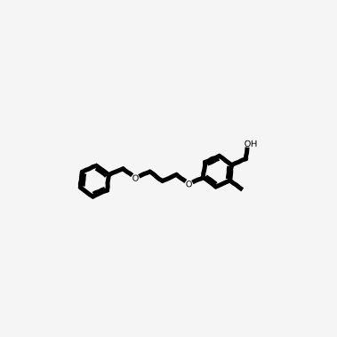 Cc1cc(OCCCOCc2ccccc2)ccc1CO